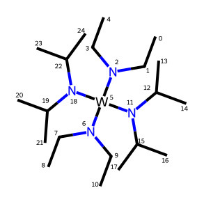 CC[N](CC)[W]([N](CC)CC)([N](C(C)C)C(C)C)[N](C(C)C)C(C)C